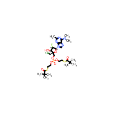 Cc1nc(N(C)C)c2ncn([C@@H]3O[C@](CCl)(COP(=O)(OCCSC(=O)C(C)(C)C)OCCSC(=O)C(C)(C)C)[C@@H](O)[C@H]3F)c2n1